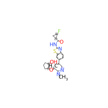 C=C(/C=N\C(CO[C@H]1CCC[C@@H]1O)=N/C)c1ccc2nc(NC(=O)[C@@H]3C[C@@H]3F)sc2c1